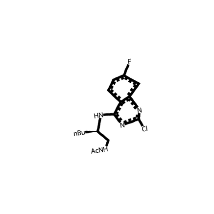 CCCC[C@H](CNC(C)=O)Nc1nc(Cl)nc2cc(F)ccc12